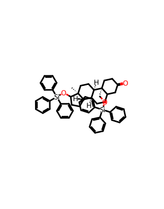 C[C@]12CC[C@@H]3[C@@H](CCC4CC(=O)CC[C@@]43CO[Si](c3ccccc3)(c3ccccc3)c3ccccc3)[C@@H]1CCC2O[Si](c1ccccc1)(c1ccccc1)c1ccccc1